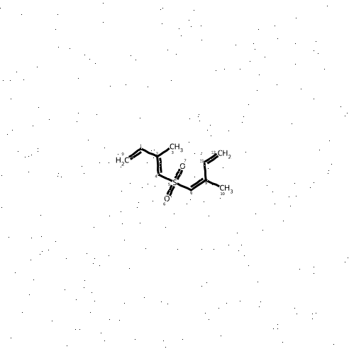 C=CC(C)=CS(=O)(=O)C=C(C)C=C